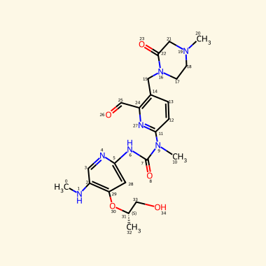 CNc1cnc(NC(=O)N(C)c2ccc(CN3CCN(C)CC3=O)c(C=O)n2)cc1O[C@@H](C)CO